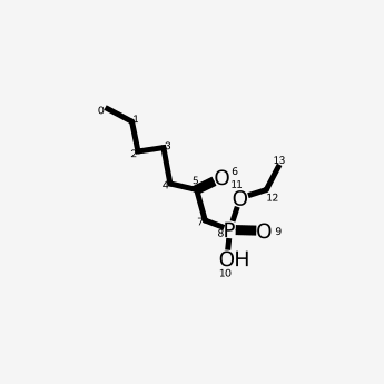 CCCCCC(=O)CP(=O)(O)OCC